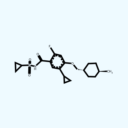 C[C@H]1CC[C@H](COc2cc(F)c(C(=O)NS(=O)(=O)C3CC3)cc2C2CC2)CC1